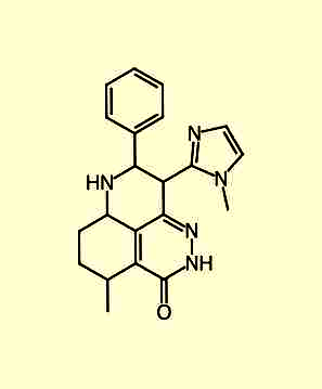 CC1CCC2NC(c3ccccc3)C(c3nccn3C)c3n[nH]c(=O)c1c32